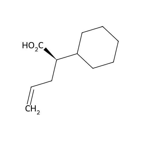 C=CC[C@@H](C(=O)O)C1CCCCC1